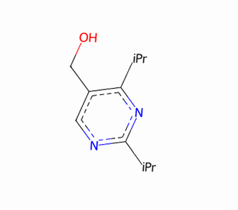 CC(C)c1ncc(CO)c(C(C)C)n1